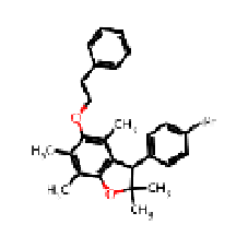 Cc1c(C)c2c(c(C)c1OCCc1ccccc1)C(c1ccc(C(C)C)cc1)C(C)(C)O2